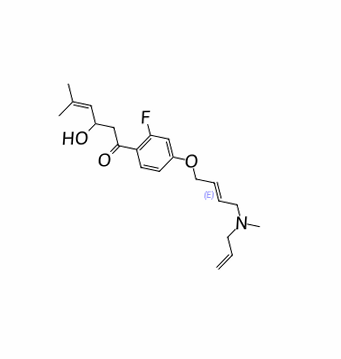 C=CCN(C)C/C=C/COc1ccc(C(=O)CC(O)C=C(C)C)c(F)c1